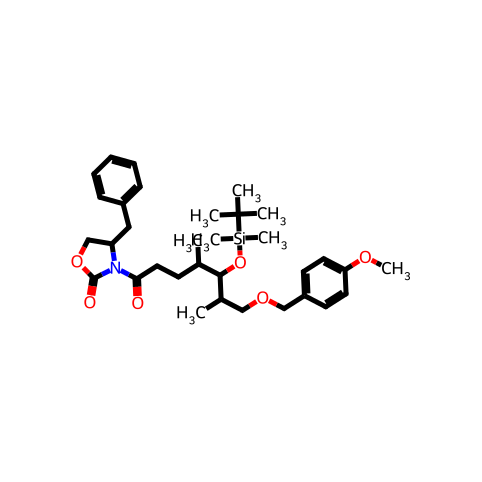 COc1ccc(COCC(C)C(O[Si](C)(C)C(C)(C)C)C(C)CCC(=O)N2C(=O)OCC2Cc2ccccc2)cc1